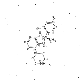 C[C@]1(c2ccc(Cl)cc2F)Oc2cccc(C3CCNCC3)c2O1